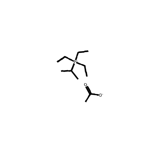 CC(=O)[O-].CC[P+](CC)(CC)C(C)C